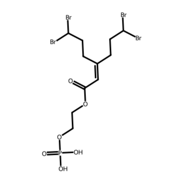 O=C(C=C(CCC(Br)Br)CCC(Br)Br)OCCOP(=O)(O)O